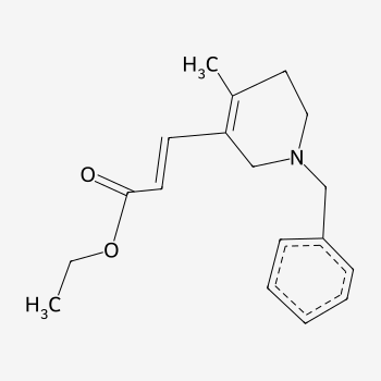 CCOC(=O)/C=C/C1=C(C)CCN(Cc2ccccc2)C1